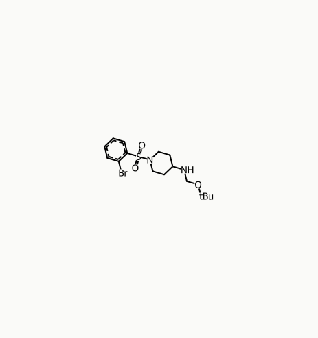 CC(C)(C)OCNC1CCN(S(=O)(=O)c2ccccc2Br)CC1